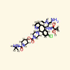 C=CN(C)/C(=C\N)[C@H](NC(=O)C1(OC)CC1)C1=Cc2cccnc2[C@@H](N2CCN(C(=O)OC3CCN(C(=O)NC(C)(C)C)CC3)CC2)c2ccc(Cl)cc21